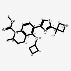 COC(=O)N1c2ccc(-c3csc(C4(F)CNC4)n3)c(OC3CCC3)c2CCC1C